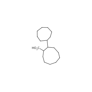 O=C(O)C1CCCCCCCC1C1CCCCCCC1